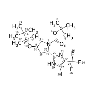 CC(C)(C)OC(=O)N1C[C@H](O[Si](C)(C)C(C)(C)C)C[C@H]1c1nc(C(F)(F)F)c(I)[nH]1